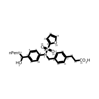 CCCCCC(O)c1ccc(N(Cc2ccc(CCC(=O)O)cc2)S(=O)(=O)c2ccco2)cc1